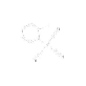 N#C[B-](C#N)(C#N)c1ccccc1F